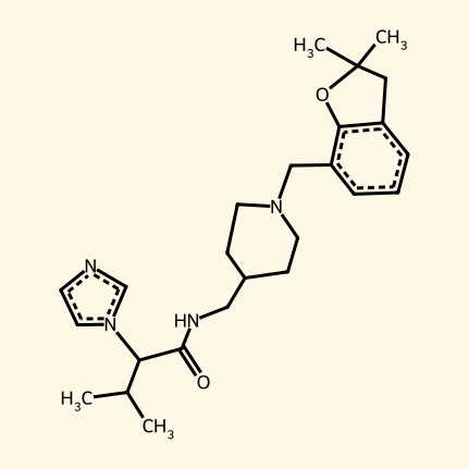 CC(C)C(C(=O)NCC1CCN(Cc2cccc3c2OC(C)(C)C3)CC1)n1ccnc1